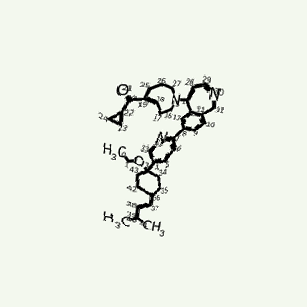 CCOC1(c2ccc(-c3ccc4c(c3)C(N3CC/C=C(\C(=O)C5CC5)CCC3)=CC=NC4)nc2)CCC(/C=C/C(C)C)CC1